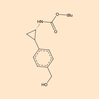 CC(C)(C)OC(=O)N[C@H]1CC1c1ccc(CO)cc1